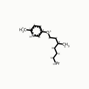 Cc1ccc(OCCC(C)CCCC(C)C)cn1